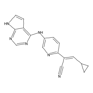 N#C/C(=C\C1CC1)c1ccc(Nc2ncnc3[nH]ccc23)cn1